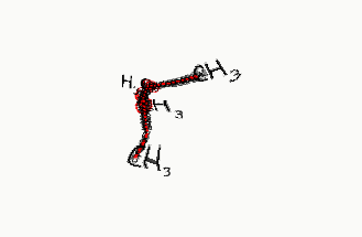 CCCCCCCCC/C=C/C=C/C=C/C=C/C=C/C=C/C(=O)Oc1ccc(/C=C/C(=O)CC(=O)/C=C/c2ccc(OC(=O)/C=C/C=C/C=C/C=C/C=C/C=C/CCCCCCCCC)c(OC)c2)cc1OC